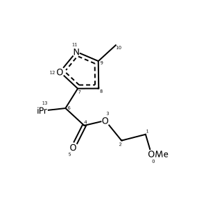 COCCOC(=O)C(c1cc(C)no1)C(C)C